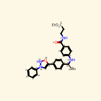 CCOC(=O)CCNC(=O)c1ccc(N[C@H](c2ccc(C3=CN(c4ccccc4)NO3)cc2)C(C)CC)cc1